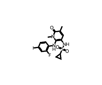 Cc1cc(NS(=O)(=O)C2CC2)c(Nc2ccc(I)cc2F)n(C)c1=O